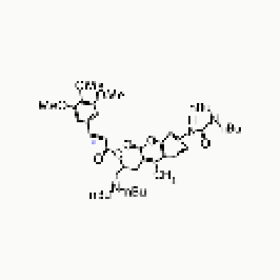 CCCCN(CCCC)CC(Cc1c(C)c2ccc(NC(=O)N(CCCC)CCCC)cc2oc1=O)OC(=O)/C=C/c1cc(OC)c(OC)c(OC)c1